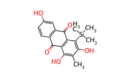 Cc1c(O)c2c(c([Si](C)(C)C)c1O)C(=O)c1cc(O)ccc1C2=O